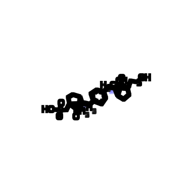 CC1(C)C2CCC1(CSO)C(=O)/C2=C/c1ccc(/C=C2/C(=O)C3(CS(=O)(=O)O)CCC2C3(C)C)cc1